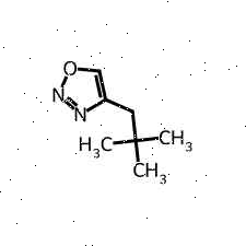 CC(C)(C)Cc1conn1